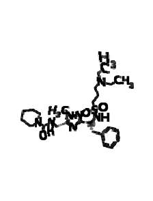 CCN(CC)CCCS(=O)(=O)N[C@H](Cc1ccccc1)c1nc(CNC(=O)N2CCCCC2)n(C)n1